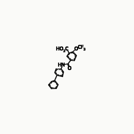 O=C(Nc1ccc(-c2ccccc2)cc1)c1ccc(OC(F)(F)F)c(C(=O)O)c1